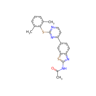 CC(=O)Nc1nc2ccc(-c3ccnc(Sc4c(C)cccc4C)n3)cc2s1